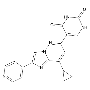 O=c1[nH]cc(-c2cc(C3CC3)c3nc(-c4ccncc4)cn3n2)c(=O)[nH]1